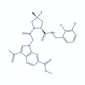 COC(=O)c1ccc2c(C(C)=O)cn(CC(=O)N3C[C@](C)(F)C[C@H]3C(=O)NCc3cccc(Cl)c3F)c2c1